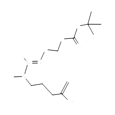 CN(CCCC(=O)O)[N+]([O-])=NOCOC(=O)OC(C)(C)C